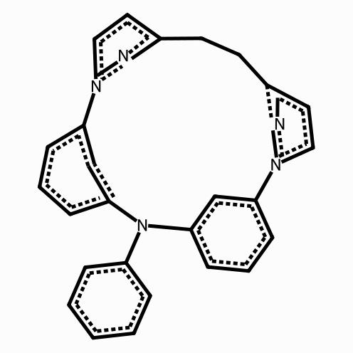 c1ccc(N2c3cccc(c3)-n3ccc(n3)CCc3ccn(n3)-c3cccc2c3)cc1